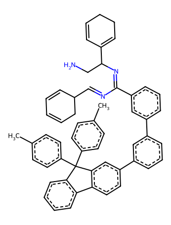 Cc1ccc(C2(c3ccc(C)cc3)c3ccccc3-c3ccc(-c4cccc(-c5cccc(C(=N/C(CN)C6=CCCC=C6)/N=C/C6C=CC=CC6)c5)c4)cc32)cc1